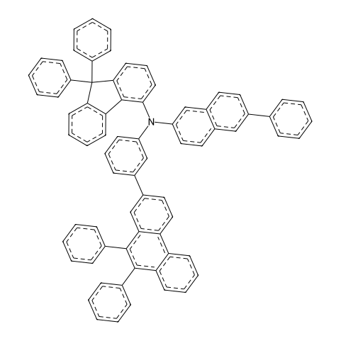 c1ccc(-c2ccc3cc(N(c4cccc(-c5ccc6c(c5)c(-c5ccccc5)c(-c5ccccc5)c5ccccc56)c4)c4cccc5c4-c4ccccc4C5(c4ccccc4)c4ccccc4)ccc3c2)cc1